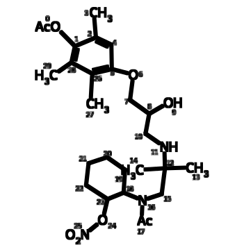 CC(=O)Oc1c(C)cc(OCC(O)CNC(C)(C)CN(C(C)=O)C2CCCCC2O[N+](=O)[O-])c(C)c1C